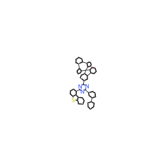 c1ccc(-c2cccc(-c3nc(-c4ccc5c(c4)-c4ccccc4C54c5ccccc5-c5ccccc5-c5ccccc54)nc(-c4cccc5sc6ccccc6c45)n3)c2)cc1